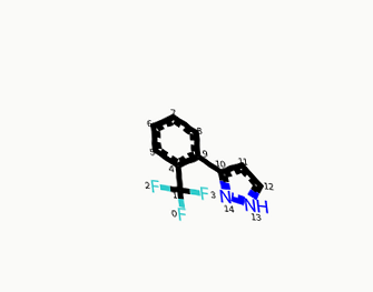 FC(F)(F)c1ccccc1-c1cc[nH]n1